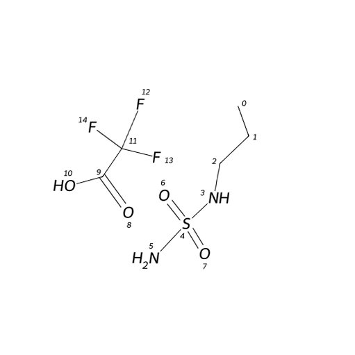 CCCNS(N)(=O)=O.O=C(O)C(F)(F)F